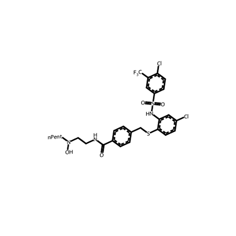 CCCCCN(O)CCNC(=O)c1ccc(CSc2ccc(Cl)cc2NS(=O)(=O)c2ccc(Cl)c(C(F)(F)F)c2)cc1